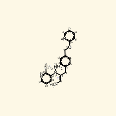 N/C=C(/Cc1ccc(COc2ccccn2)cc1)N(N)c1cccnc1N